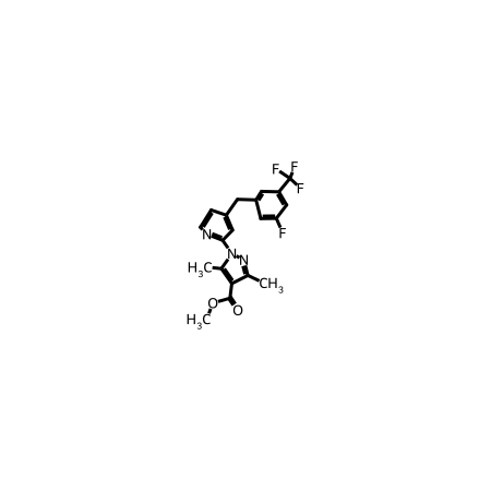 COC(=O)c1c(C)nn(-c2cc(Cc3cc(F)cc(C(F)(F)F)c3)ccn2)c1C